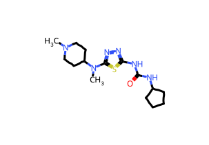 CN1CCC(N(C)c2nnc(NC(=O)NC3CCCC3)s2)CC1